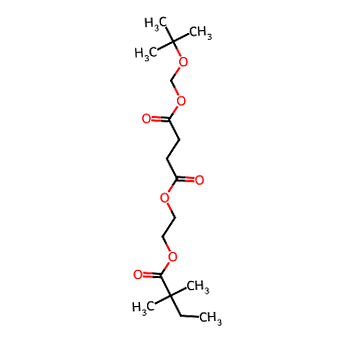 CCC(C)(C)C(=O)OCCOC(=O)CCC(=O)OCOC(C)(C)C